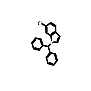 Clc1ccc2ccn(C(c3ccccc3)c3ccccc3)c2c1